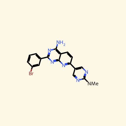 CNc1ncc(-c2ccc3c(N)nc(-c4cccc(Br)c4)nc3n2)cn1